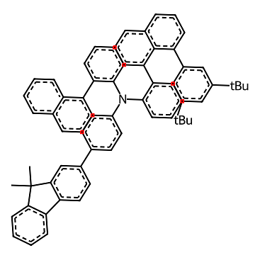 CC(C)(C)c1cc(-c2cccc3cccc(-c4ccccc4N(c4ccc(-c5ccc6c(c5)C(C)(C)c5ccccc5-6)cc4)c4ccccc4-c4cccc5ccccc45)c23)cc(C(C)(C)C)c1